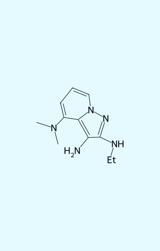 [CH2]CNc1nn2cccc(N(C)C)c2c1N